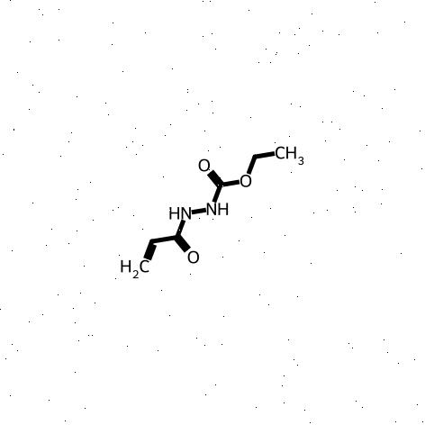 C=CC(=O)NNC(=O)OCC